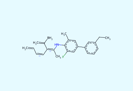 BC(=C)C(/C=C\C=C)=C(/C)Nc1c(C)cc(-c2cccc(CC)c2)cc1F